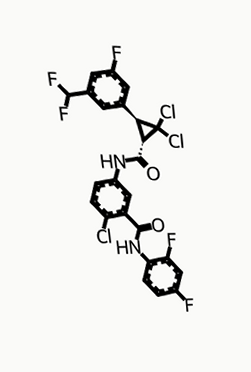 O=C(Nc1ccc(F)cc1F)c1cc(NC(=O)[C@@H]2[C@@H](c3cc(F)cc(C(F)F)c3)C2(Cl)Cl)ccc1Cl